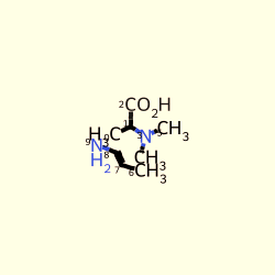 CC(C(=O)O)N(C)C.CC=CN